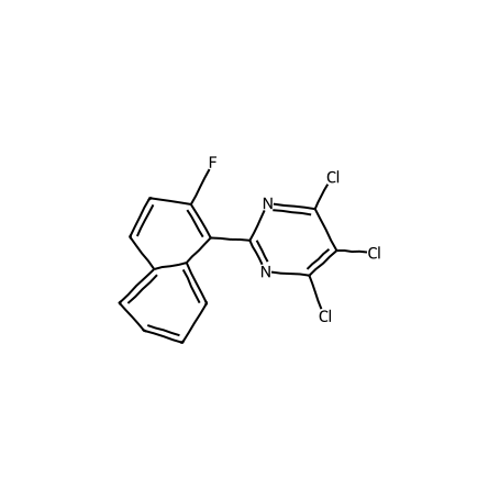 Fc1ccc2ccccc2c1-c1nc(Cl)c(Cl)c(Cl)n1